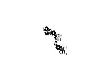 Cc1n[nH]c2cc(OCCNC[C@H](O)c3cccc(NS(=O)(=O)c4cccnc4F)c3)ccc12